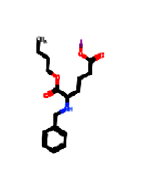 CCCCOC(=O)C(CCCC(=O)OI)NCc1ccccc1